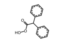 O=C(OO)C(c1ccccc1)c1ccccc1